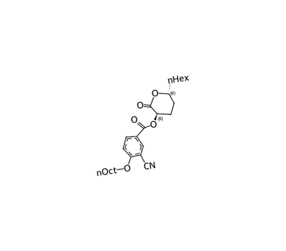 CCCCCCCCOc1ccc(C(=O)O[C@@H]2CC[C@@H](CCCCCC)OC2=O)cc1C#N